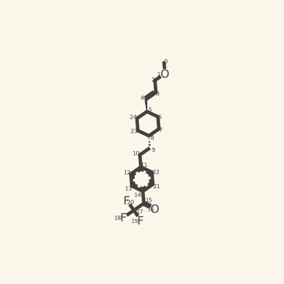 COC/C=C/[C@H]1CC[C@H](CCc2ccc(C(=O)C(F)(F)F)cc2)CC1